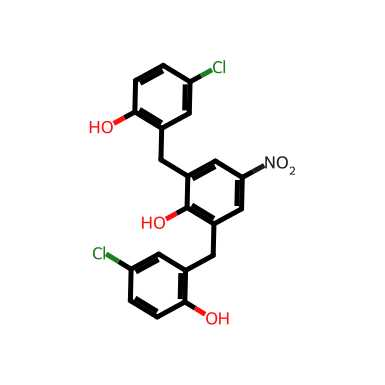 O=[N+]([O-])c1cc(Cc2cc(Cl)ccc2O)c(O)c(Cc2cc(Cl)ccc2O)c1